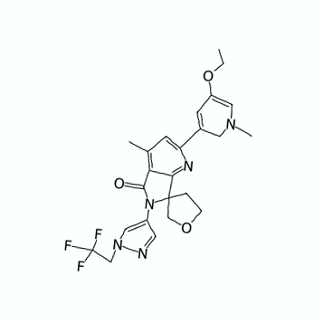 CCOC1=CN(C)CC(c2cc(C)c3c(n2)C2(CCOC2)N(c2cnn(CC(F)(F)F)c2)C3=O)=C1